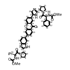 COC(=O)N[C@H](C(=O)N1CCC[C@H]1c1nc2ccc(-c3ccc4c(=O)c5cc(-c6cnc([C@@H]7CCCN7C(=O)[C@H](NC(=O)OC)c7ccccc7)[nH]6)ccc5oc4c3)cc2[nH]1)C(C)C